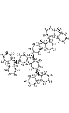 c1ccc2c(c1)sc1cccc(-c3cccc4c3sc3ccc(-n5c6ccc(-n7c8ccccc8c8ccccc87)cc6c6cc(-n7c8ccccc8c8ccccc87)ccc65)cc34)c12